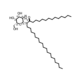 CCCCCCCCCCCCCCCCCCN(C(=O)CCCCCCCCCCCCC)[C@@H]1O[C@H](CO)[C@H](O)[C@H](O)[C@H]1N